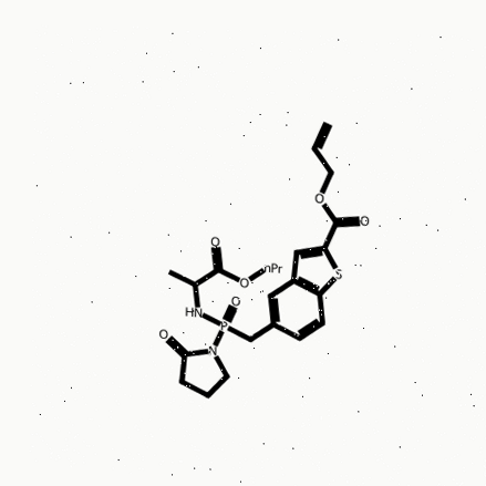 C=CCOC(=O)c1cc2cc(CP(=O)(NC(C)C(=O)OCCC)N3CCCC3=O)ccc2s1